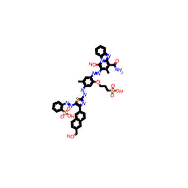 Cc1cc(N=Nc2c(C)c(C(N)=O)c3nc4ccccc4n3c2O)c(OCCCS(=O)(=O)O)cc1N=Nc1nc(-c2ccc3cc(CO)ccc3c2)c(N=Nc2ccccc2S(=O)(=O)O)s1